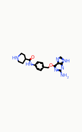 Nc1nc(OCc2ccc(NC(=O)C3CCNCC3)cc2)c2nc[nH]c2n1